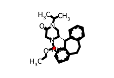 CCOC(=N)N1CC(=O)N(C(C)C)C[C@@H]1C1c2ccccc2CCc2ccccc21